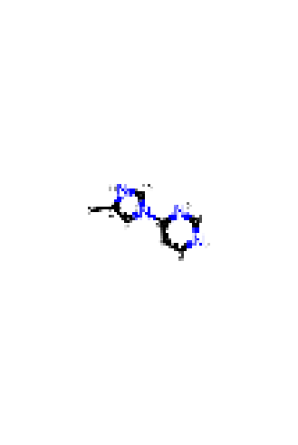 Cc1cn(-c2ccncn2)cn1